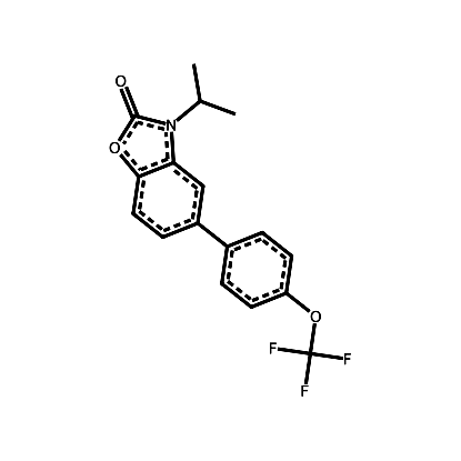 CC(C)n1c(=O)oc2ccc(-c3ccc(OC(F)(F)F)cc3)cc21